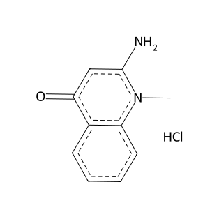 Cl.Cn1c(N)cc(=O)c2ccccc21